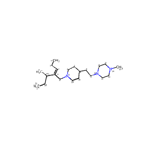 CCC=C(CN1CCC(CCN2CCN(C)CC2)CC1)C(C)CC